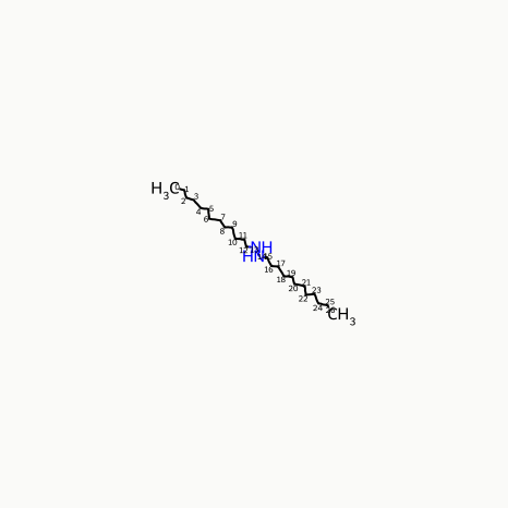 CCCCCCCCCCCCCNNCCCCCCCCCCCC